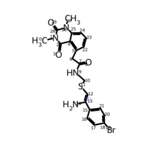 Cn1c(=O)c2c(CC(=O)NCS/C=C(\N)c3ccc(Br)cc3)cccc2n(C)c1=O